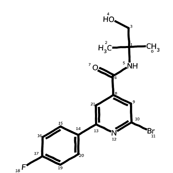 CC(C)(CO)NC(=O)c1cc(Br)nc(-c2ccc(F)cc2)c1